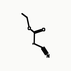 CCOC(=O)[C]C#N